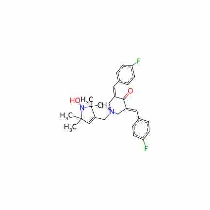 CC1(C)C=C(CN2CC(=Cc3ccc(F)cc3)C(=O)C(=Cc3ccc(F)cc3)C2)C(C)(C)N1O